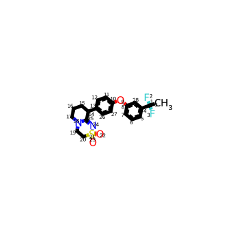 CC(F)(F)c1cccc(Oc2ccc(C3CCCN4CCS(=O)(=O)N=C34)cc2)c1